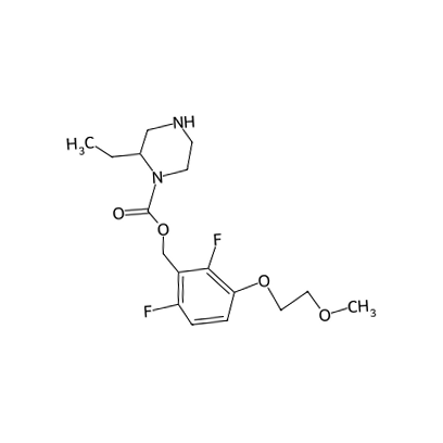 CCC1CNCCN1C(=O)OCc1c(F)ccc(OCCOC)c1F